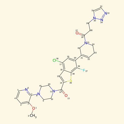 COc1cccnc1N1CCN(C(=O)c2cc3c(Cl)cc(C4=CCCN(C(=O)CCn5ccnn5)C4)c(F)c3s2)CC1